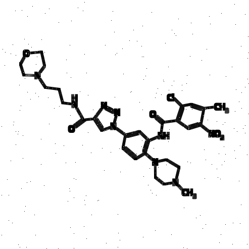 Cc1cc(Cl)c(C(=O)Nc2cc(-n3cc(C(=O)NCCCN4CCOCC4)nn3)ccc2N2CCN(C)CC2)cc1[N+](=O)[O-]